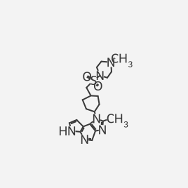 Cc1nc2cnc3[nH]ccc3c2n1C1CCC(CS(=O)(=O)N2CCN(C)CC2)CC1